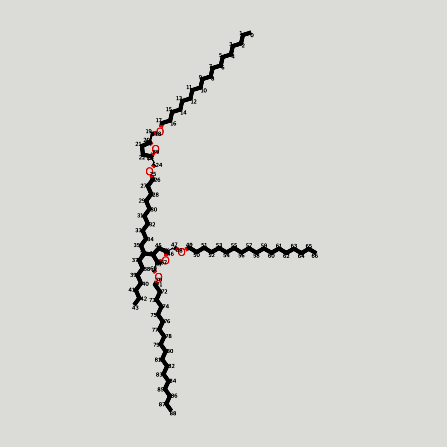 CCCCCCCCCCCCCCCCCCOC[C@@H]1CC[C@@H](COCCCCCCCCCCC(CCCCCCC)C2C[C@H](COCCCCCCCCCCCCCCCCCC)O[C@@H]2COCCCCCCCCCCCCCCCCCC)O1